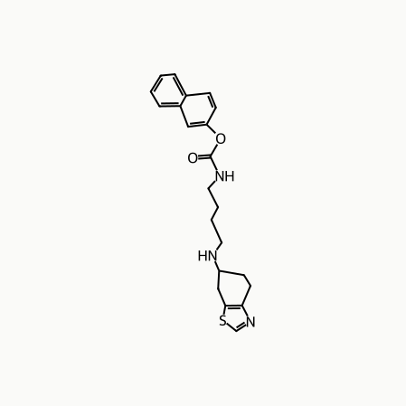 O=C(NCCCCNC1CCc2ncsc2C1)Oc1ccc2ccccc2c1